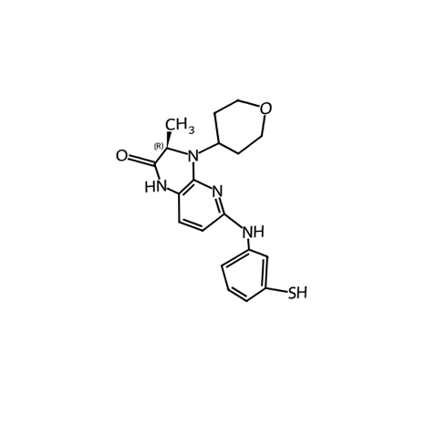 C[C@@H]1C(=O)Nc2ccc(Nc3cccc(S)c3)nc2N1C1CCOCC1